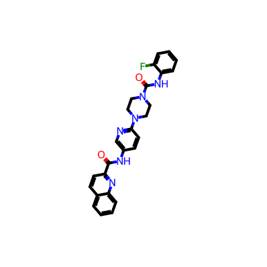 O=C(Nc1ccc(N2CCN(C(=O)Nc3ccccc3F)CC2)nc1)c1ccc2ccccc2n1